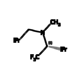 CC(C)CN(C)[C@H](C(C)C)C(F)(F)F